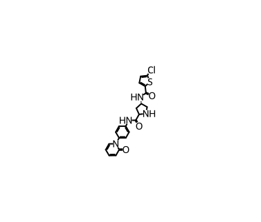 O=C(N[C@@H]1CNC(C(=O)Nc2ccc(-n3ccccc3=O)cc2)C1)c1ccc(Cl)s1